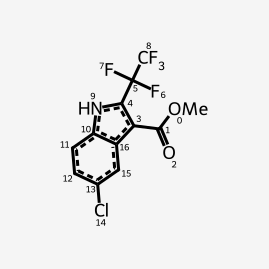 COC(=O)c1c(C(F)(F)C(F)(F)F)[nH]c2ccc(Cl)cc12